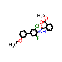 CCOc1cccc(-c2cc(F)c(NC(=O)c3ccccc3C(=O)OC)c(Cl)c2)c1